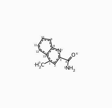 [CH2]c1cc(C(N)=O)nc2ccccc12